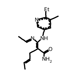 C/C=C/C/C(C(N)=O)=C(\N=C\C)Nc1cnc(CC)c(C)c1